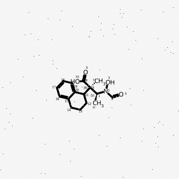 C[C@H](N(O)C=O)[C@](C)(C(=O)O)C1CCCc2ccccc21